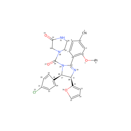 CC(C)Oc1cc(C#N)ccc1C1=N[C@@H](c2ccco2)[C@@H](c2ccc(Cl)cc2)N1C(=O)N1CCNC(=O)C1